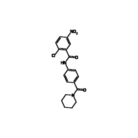 O=C(Nc1ccc(C(=O)N2CCCCC2)cc1)c1cc([N+](=O)[O-])ccc1Cl